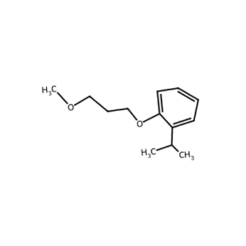 COCCCOc1ccccc1C(C)C